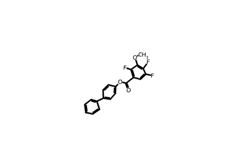 COc1c(F)c(F)cc(C(=O)Oc2ccc(-c3ccccc3)cc2)c1F